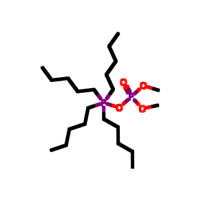 CCCCCP(CCCCC)(CCCCC)(CCCCC)OP(=O)(OC)OC